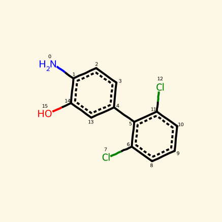 Nc1ccc(-c2c(Cl)cccc2Cl)cc1O